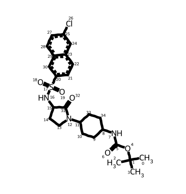 CC(C)(C)OC(=O)NC1CCC(N2CCC(NS(=O)(=O)c3ccc4cc(Cl)ccc4c3)C2=O)CC1